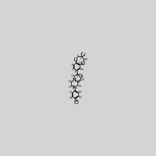 CC1(C)COc2ccc(C(=O)CN3CCN(c4ccc(Cl)cc4)CC3I)cc2OC1